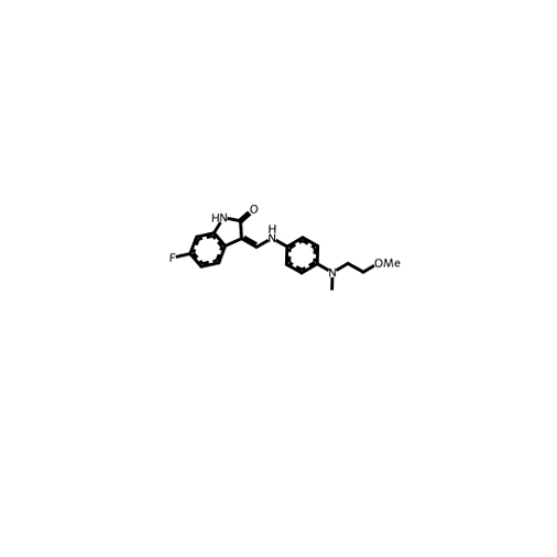 COCCN(C)c1ccc(NC=C2C(=O)Nc3cc(F)ccc32)cc1